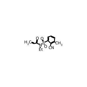 C=CC(=O)N(CC)S(=O)(=O)c1cccc(C)c1C#N